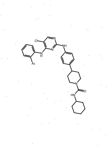 CC(=O)c1ccccc1Nc1nc(Nc2ccc(C3CCN(C(=O)NC4CCCCC4)CC3)cc2)ncc1Cl